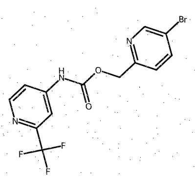 O=C(Nc1ccnc(C(F)(F)F)c1)OCc1ccc(Br)cn1